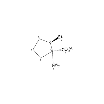 CC[C@@H]1CCC[C@@]1(N)C(=O)O